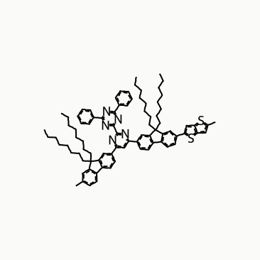 CCCCCCCCC1(CCCCCCCC)c2cc(C)ccc2-c2ccc(-c3cc(-c4ccc5c(c4)C(CCCCCCCC)(CCCCCCCC)c4cc(-c6cc7sc(C)cc7s6)ccc4-5)nc(-c4nc(-c5ccccc5)nc(-c5ccccc5)n4)n3)cc21